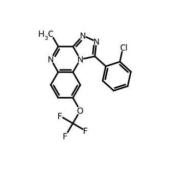 Cc1nc2ccc(OC(F)(F)F)cc2n2c(-c3ccccc3Cl)nnc12